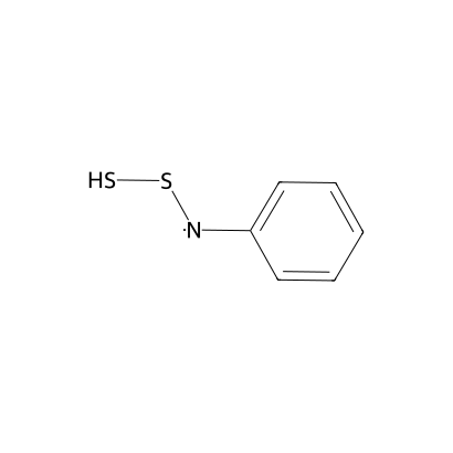 SS[N]c1ccccc1